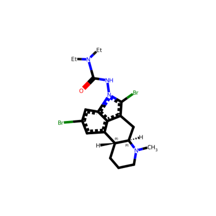 CCN(CC)C(=O)Nn1c(Br)c2c3c(cc(Br)cc31)[C@H]1CCCN(C)[C@@H]1C2